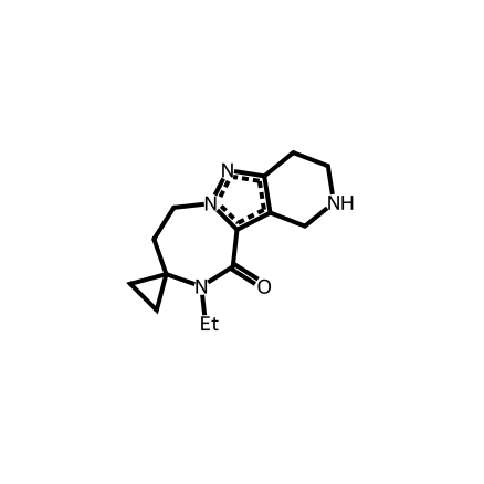 CCN1C(=O)c2c3c(nn2CCC12CC2)CCNC3